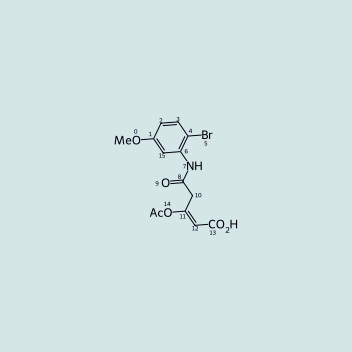 COc1ccc(Br)c(NC(=O)C/C(=C\C(=O)O)OC(C)=O)c1